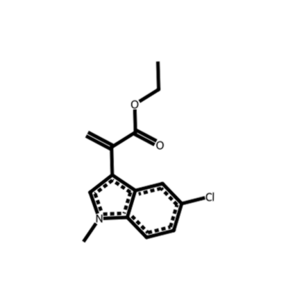 C=C(C(=O)OCC)c1cn(C)c2ccc(Cl)cc12